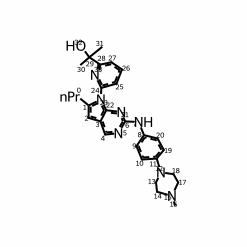 CCCc1cc2cnc(Nc3ccc(N4CCN(C)CC4)cc3)nc2n1-c1cccc(C(C)(C)O)n1